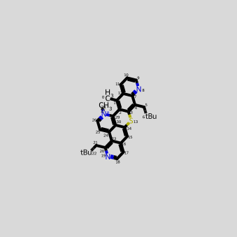 Cc1c2c(c(CC(C)(C)C)c3ncccc13)Sc1cc3ccnc(CC(C)(C)C)c3c3cc[n+](C)c-2c13